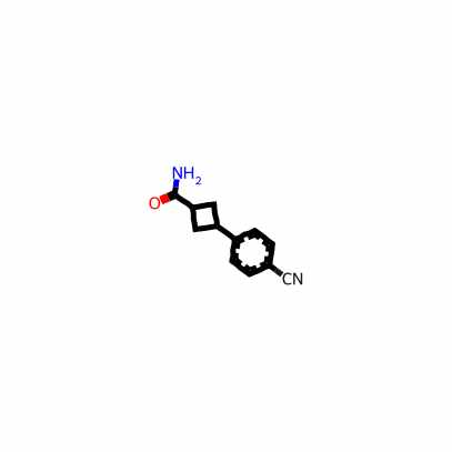 N#Cc1ccc(C2CC(C(N)=O)C2)cc1